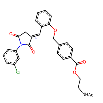 CC(=O)NCCOC(=O)c1ccc(COc2ccccc2/C=C2\CC(=O)N(c3cccc(Cl)c3)C2=O)cc1